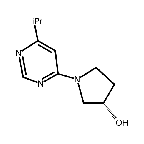 CC(C)c1cc(N2CC[C@H](O)C2)ncn1